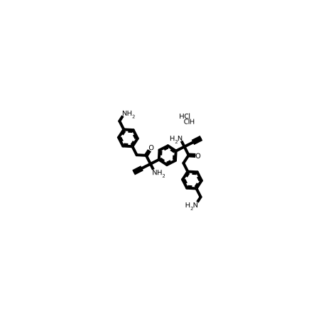 C#CC(N)(C(=O)Cc1ccc(CN)cc1)c1ccc(C(N)(C#C)C(=O)Cc2ccc(CN)cc2)cc1.Cl.Cl